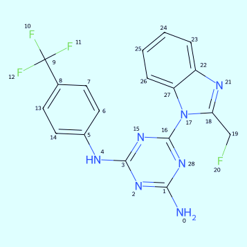 Nc1nc(Nc2ccc(C(F)(F)F)cc2)nc(-n2c(CF)nc3ccccc32)n1